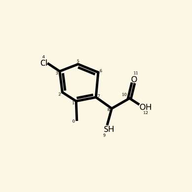 Cc1cc(Cl)ccc1C(S)C(=O)O